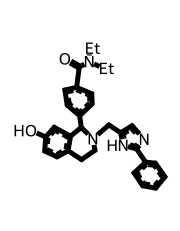 CCN(CC)C(=O)c1ccc(C2c3cc(O)ccc3CCN2Cc2cnc(-c3ccccc3)[nH]2)cc1